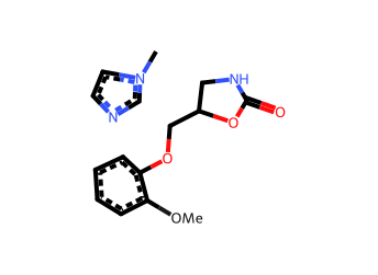 COc1ccccc1OCC1CNC(=O)O1.Cn1ccnc1